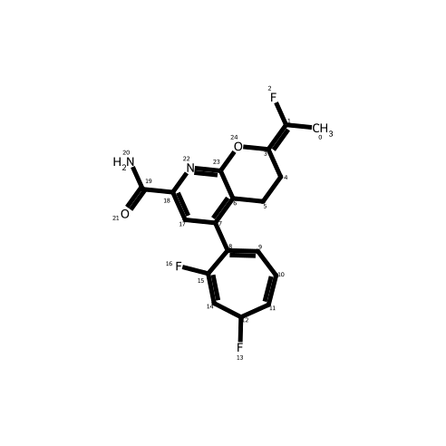 C/C(F)=C1\CCc2c(C3=CC=CC(F)C=C3F)cc(C(N)=O)nc2O1